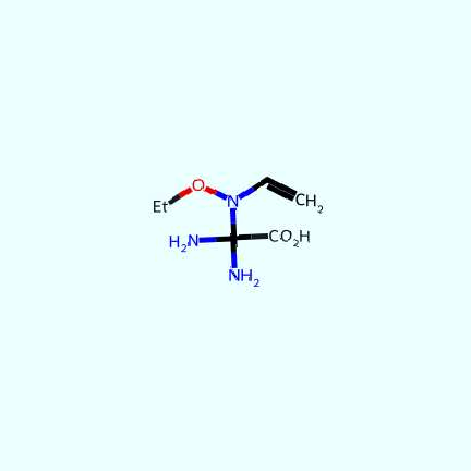 C=CN(OCC)C(N)(N)C(=O)O